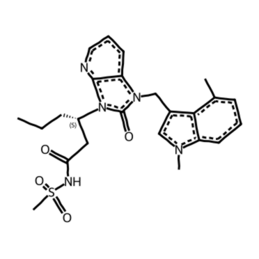 CCC[C@@H](CC(=O)NS(C)(=O)=O)n1c(=O)n(Cc2cn(C)c3cccc(C)c23)c2cccnc21